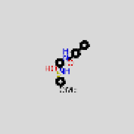 COc1ccc(SNc2cc(NC(=O)c3ccc(-c4ccccc4)cc3)ccc2O)cc1